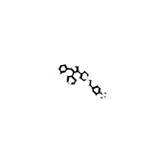 Cc1cccc(-c2[nH]cc(C3=CCN(CCc4ccc(S(C)(=O)=O)cc4)CC3)c2-c2ccncc2)c1